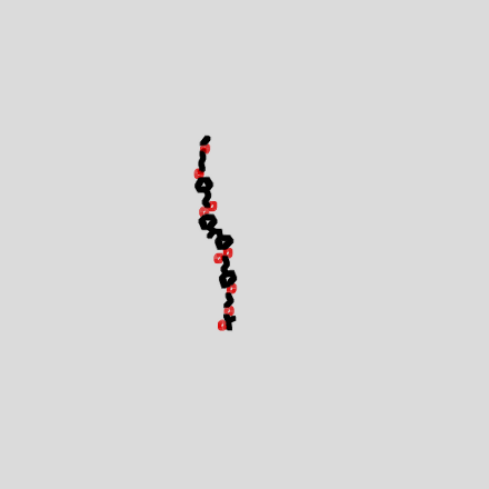 C=COCCCCOc1ccc(CCC(=O)Oc2ccc(C(C)Cc3ccc(OC(=O)CCc4ccc(OCCCOCC5(C)CO5)cc4)cc3)cc2)cc1